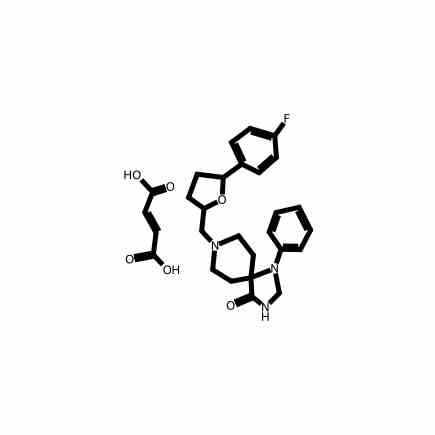 O=C(O)C=CC(=O)O.O=C1NCN(c2ccccc2)C12CCN(CC1CCC(c3ccc(F)cc3)O1)CC2